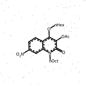 CCCCCCCCn1c(=O)c(OC(C)=O)c(OCCCCCC)c2ccc([N+](=O)[O-])cc21